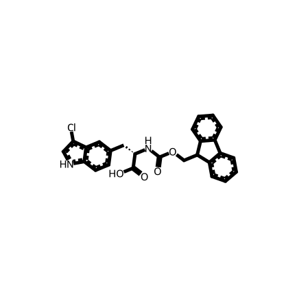 O=C(N[C@@H](Cc1ccc2[nH]cc(Cl)c2c1)C(=O)O)OCC1c2ccccc2-c2ccccc21